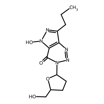 CCCc1nn(O)c2c(=O)n(C3CCC(CO)O3)nnc12